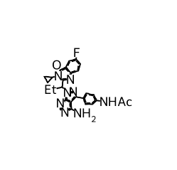 CCC(c1nc2ccc(F)cc2c(=O)n1C1CC1)n1nc(-c2ccc(NC(C)=O)cc2)c2c(N)ncnc21